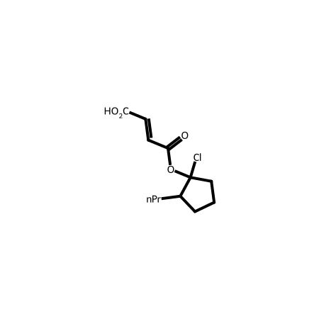 CCCC1CCCC1(Cl)OC(=O)C=CC(=O)O